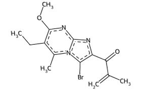 C=C(C)C(=O)c1nc2nc(OC)c(CC)c(C)n2c1Br